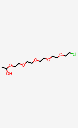 CC(O)OCCOCCOCCOCCOCCCl